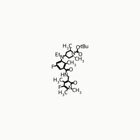 CCN(c1cc(F)cc(C(=O)NCc2c(C)c(F)c(C)n(C)c2=O)c1C)C1C[C@@H](C)N(C(=O)OC(C)(C)C)[C@H](C)C1